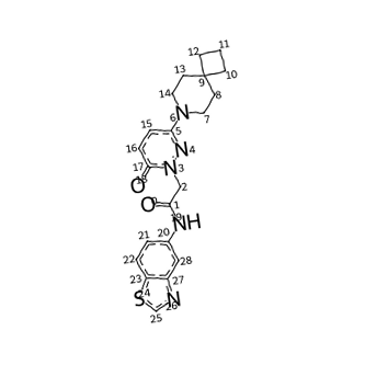 O=C(Cn1nc(N2CCC3(CCC3)CC2)ccc1=O)Nc1ccc2scnc2c1